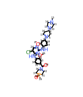 COc1cc(N2CCC(N3CCN(C)CC3)CC2)ccc1Nc1ncc(Cl)c(Nc2ccc(C(=O)N3CCP(C)(=O)CC3)cc2OC)n1